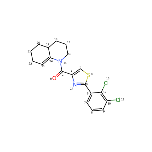 O=C(c1csc(-c2cccc(Cl)c2Cl)n1)N1CCCC2CCCC=C21